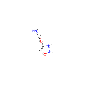 N=C=O.c1conn1